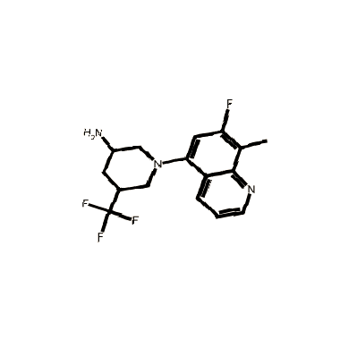 Cc1c(F)cc(N2CC(N)CC(C(F)(F)F)C2)c2cccnc12